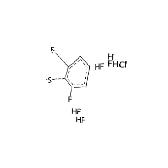 Cl.F.F.F.F.Fc1cccc(F)c1[S]